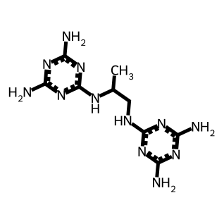 CC(CNc1nc(N)nc(N)n1)Nc1nc(N)nc(N)n1